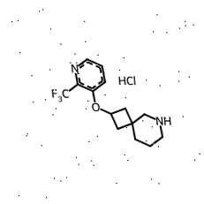 Cl.FC(F)(F)c1ncccc1OC1CC2(CCCNC2)C1